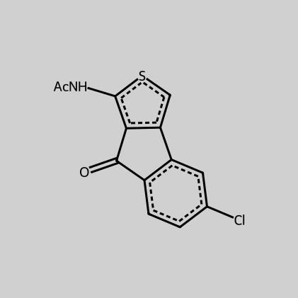 CC(=O)Nc1scc2c1C(=O)c1ccc(Cl)cc1-2